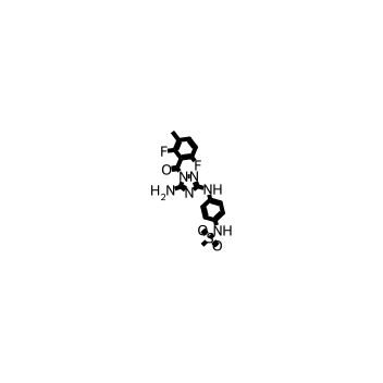 Cc1ccc(F)c(C(=O)n2nc(Nc3ccc(NS(C)(=O)=O)cc3)nc2N)c1F